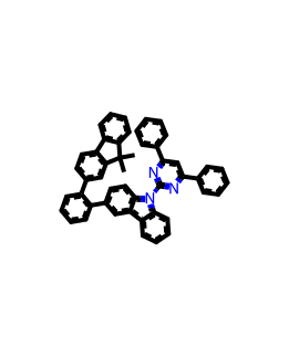 CC1(C)c2ccccc2-c2ccc(-c3ccccc3-c3ccc4c(c3)c3ccccc3n4-c3nc(-c4ccccc4)cc(-c4ccccc4)n3)cc21